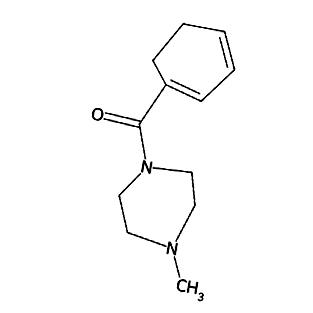 CN1CCN(C(=O)C2=CC=CCC2)CC1